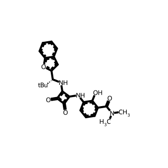 CN(C)C(=O)c1cccc(Nc2c(N[C@@H](c3cc4ccccc4o3)C(C)(C)C)c(=O)c2=O)c1O